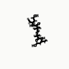 CCC(CCO)NC(=O)C(C)(C)N=NC(C)(C)C(=O)NC(CC)CCO